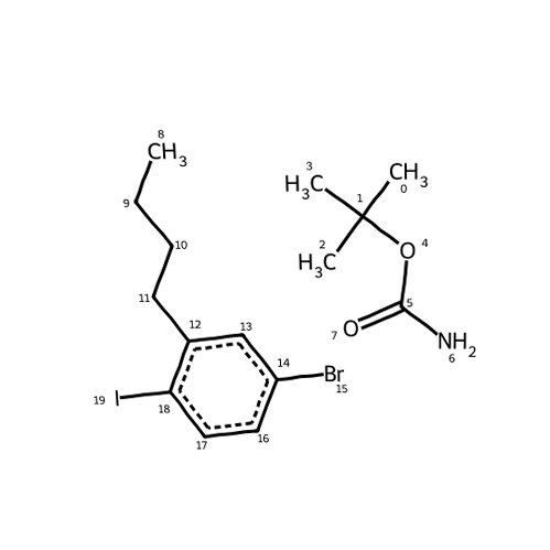 CC(C)(C)OC(N)=O.CCCCc1cc(Br)ccc1I